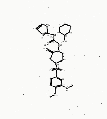 COc1ccc(S(=O)(=O)N2CCN([C@@H](CC3CCCCC3)C(=O)Nc3nccs3)C(=O)C2)cc1OC